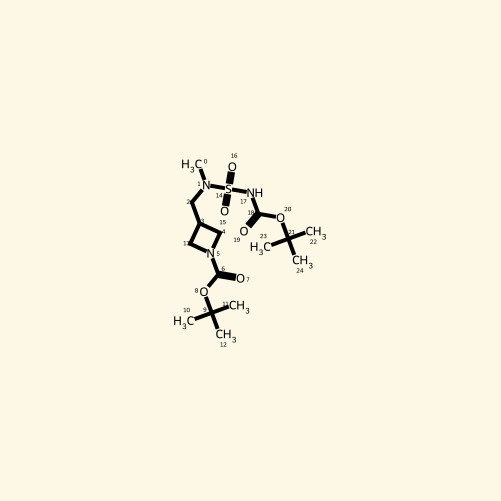 CN(CC1CN(C(=O)OC(C)(C)C)C1)S(=O)(=O)NC(=O)OC(C)(C)C